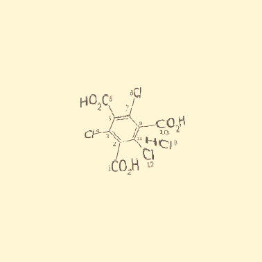 Cl.O=C(O)c1c(Cl)c(C(=O)O)c(Cl)c(C(=O)O)c1Cl